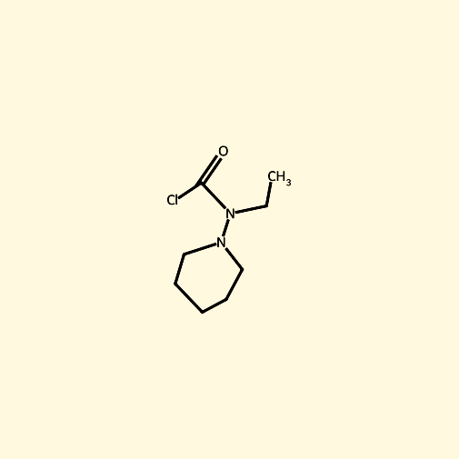 CCN(C(=O)Cl)N1CCCCC1